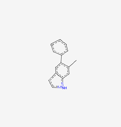 Cc1cc2[nH]ccc2cc1-c1ccccc1